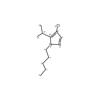 CCCCCn1n[c]c(Cl)c1C(C)C